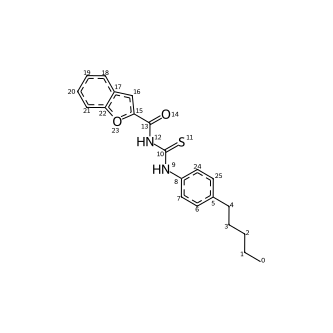 CCCCCc1ccc(NC(=S)NC(=O)c2cc3ccccc3o2)cc1